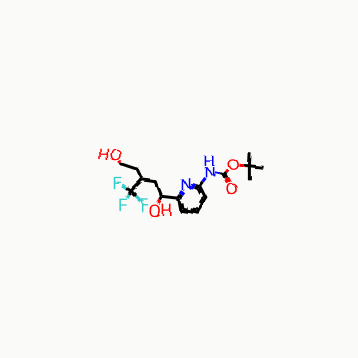 CC(C)(C)OC(=O)Nc1cccc(C(O)CC(CCO)C(F)(F)F)n1